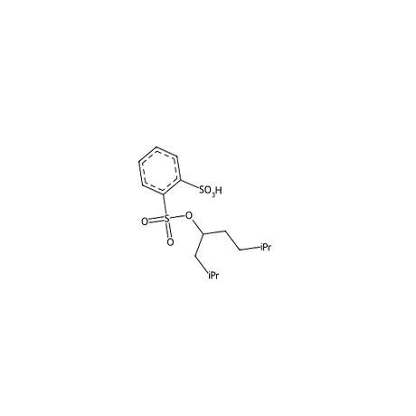 CC(C)CCC(CC(C)C)OS(=O)(=O)c1ccccc1S(=O)(=O)O